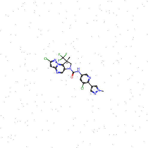 Cn1cc(-c2ncc(NC(=O)N3C[C@@](C)(C(F)(F)F)c4c3cnc3cc(Cl)nn43)cc2Cl)cn1